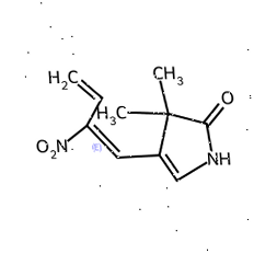 C=C/C(=C\C1=CNC(=O)C1(C)C)[N+](=O)[O-]